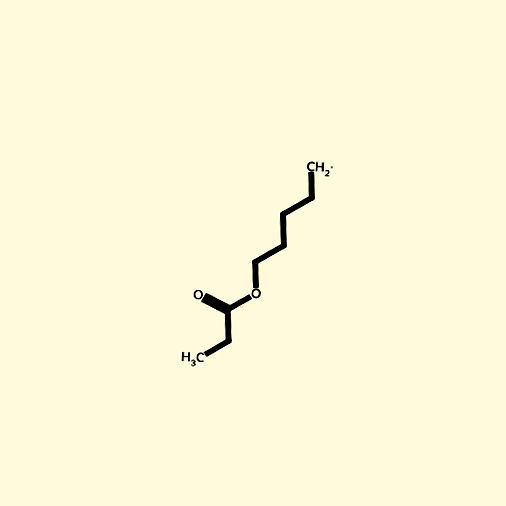 [CH2]CCCCOC(=O)CC